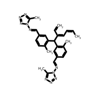 C=C/C(=C\C=C/C)C(c1cc(/C=N/n2nnnc2C)ccc1C)c1cc(/C=N/n2nnnc2C)ccc1C